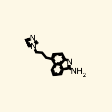 NC1=Nc2ccc(CCCn3ccnc3)c3cccc1c23